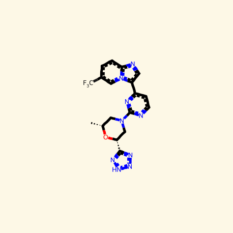 C[C@@H]1CN(c2nccc(-c3cnc4ccc(C(F)(F)F)cn34)n2)C[C@H](c2nn[nH]n2)O1